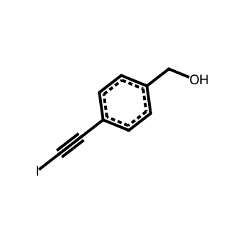 OCc1ccc(C#CI)cc1